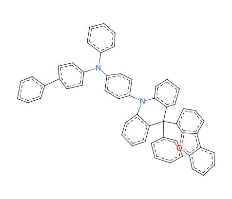 c1ccc(-c2ccc(N(c3ccccc3)c3ccc(N4c5ccccc5C(c5ccccc5)(c5cccc6c5oc5ccccc56)c5ccccc54)cc3)cc2)cc1